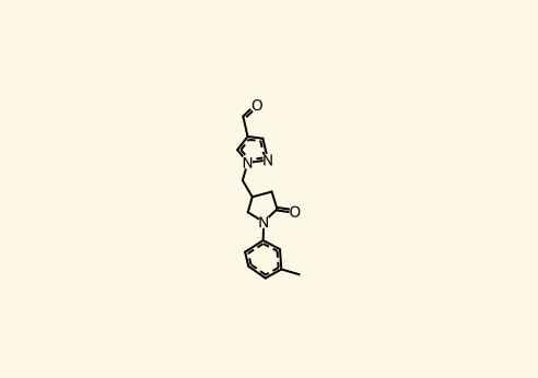 Cc1cccc(N2CC(Cn3cc(C=O)cn3)CC2=O)c1